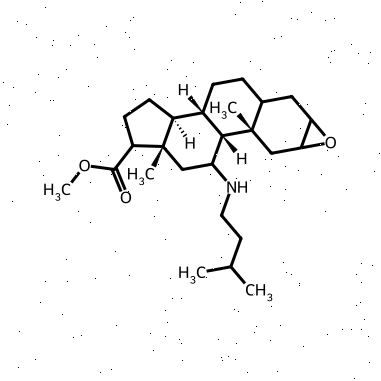 COC(=O)C1CC[C@H]2[C@@H]3CCC4CC5OC5C[C@]4(C)[C@@H]3C(NCCC(C)C)C[C@]12C